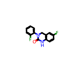 O=C1Nc2ccc(F)cc2CN1c1ccccc1F